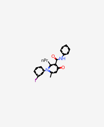 CCCc1c(C(=O)Nc2ccccc2)c(=O)cc(C)n1-c1cccc(I)c1